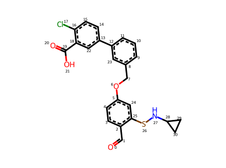 O=Cc1ccc(OCc2cccc(-c3ccc(Cl)c(C(=O)O)c3)c2)cc1SNC1CC1